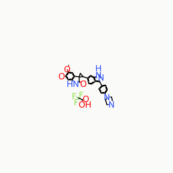 COc1cc2c(cc1OC)C1(CC1c1ccc3c(-c4ccc(N5CCN(C)CC5)cc4)n[nH]c3c1)C(=O)N2.O=C(O)C(F)(F)F